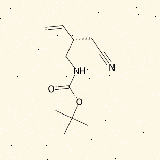 C=C[C@H](CC#N)CNC(=O)OC(C)(C)C